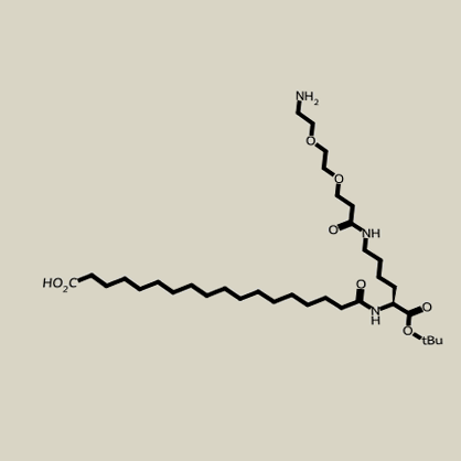 CC(C)(C)OC(=O)[C@H](CCCCNC(=O)CCOCCOCCN)NC(=O)CCCCCCCCCCCCCCCCC(=O)O